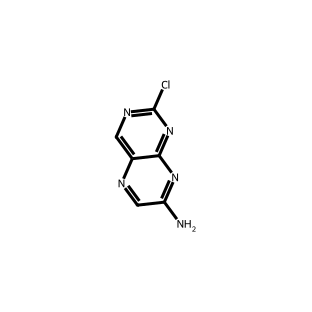 Nc1cnc2cnc(Cl)nc2n1